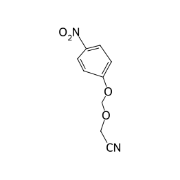 N#CCOCOc1ccc([N+](=O)[O-])cc1